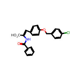 O=C(O)/C(=C/c1ccc(OCc2ccc(Cl)cc2)cc1)NC(=O)c1ccccc1